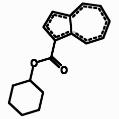 O=C(OC1CCCCC1)c1ccc2cccccc1-2